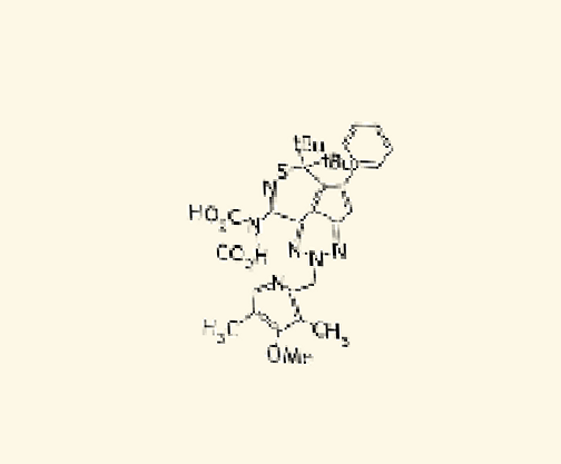 COc1c(C)cnc(Cn2nc3cc(-c4ccccc4)c4c-3c(n2)C(N(C(=O)O)C(=O)O)=NSC4(C(C)(C)C)C(C)(C)C)c1C